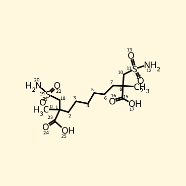 CC(CCCCCCC(C)(CS(N)(=O)=O)C(=O)O)(CS(N)(=O)=O)C(=O)O